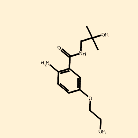 CC(C)(O)CNC(=O)c1cc(OCCO)ccc1N